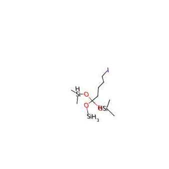 C[SiH](C)OC(CCCCI)(O[SiH3])O[SiH](C)C